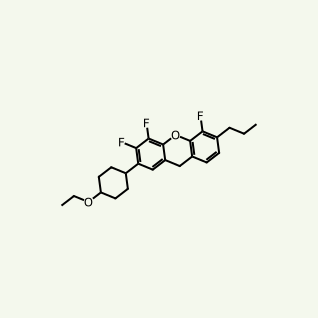 CCCc1ccc2c(c1F)Oc1c(cc(C3CCC(OCC)CC3)c(F)c1F)C2